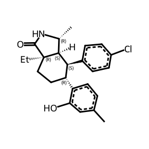 CC[C@@]12CC[C@@H](c3ccc(C)cc3O)[C@H](c3ccc(Cl)cc3)[C@@H]1[C@@H](C)NC2=O